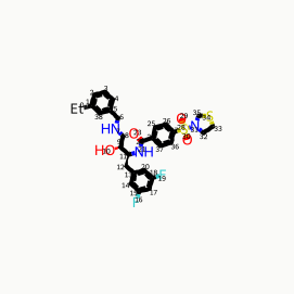 CCc1cccc(CNC[C@H](O)[C@H](Cc2cc(F)cc(F)c2)NC(=O)c2ccc(S(=O)(=O)N3CCSC3)cc2)c1